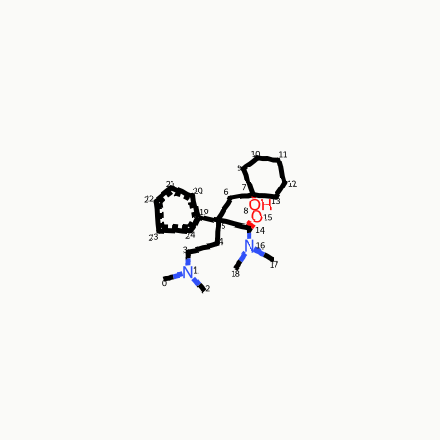 CN(C)CCC(CC1(O)CCCCC1)(C(=O)N(C)C)c1ccccc1